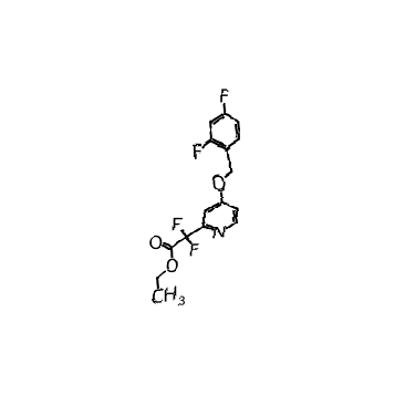 CCOC(=O)C(F)(F)c1cc(OCc2ccc(F)cc2F)ccn1